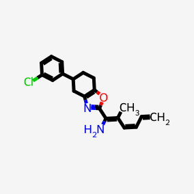 C=C/C=C\C(C)=C(/N)c1nc2c(o1)CCC(c1cccc(Cl)c1)C2